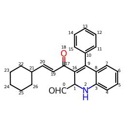 O=CC1Nc2ccccc2C(c2ccccc2)=C1C(=O)/C=C/C1CCCCC1